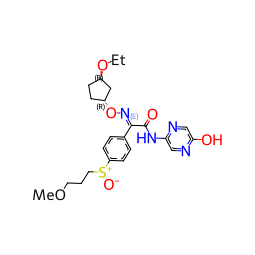 CCO[C@@H]1CC[C@@H](O/N=C(/C(=O)Nc2cnc(O)cn2)c2ccc([S+]([O-])CCCOC)cc2)C1